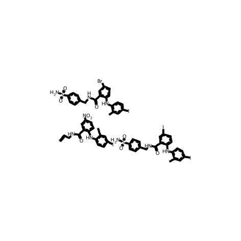 C=CCNC(=O)c1cc([N+](=O)[O-])ccc1Nc1ccc(I)cc1C.Cc1cc(I)ccc1Nc1ccc(Br)cc1C(=O)NCc1ccc(S(N)(=O)=O)cc1.Cc1cc(I)ccc1Nc1ccc(I)cc1C(=O)NCc1ccc(S(N)(=O)=O)cc1